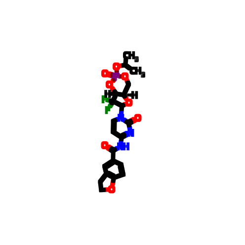 CC(C)OP1(=O)OC[C@H]2OC(n3ccc(NC(=O)c4ccc5c(c4)CCO5)nc3=O)C(F)(F)[C@@H]2O1